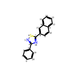 c1ccc(-c2nsc(-c3ccc4ccccc4c3)n2)cc1